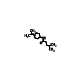 CC(C)CCC(=O)NC1CCN(C(C)C)CC1